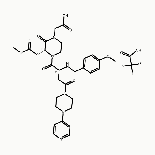 COC(=O)C[C@@H]1C(=O)N(CC(=O)O)CCN1C(=O)[C@H](CC(=O)N1CCN(c2ccncc2)CC1)NCc1ccc(OC)cc1.O=C(O)C(F)(F)F